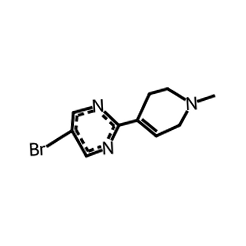 CN1CC=C(c2ncc(Br)cn2)CC1